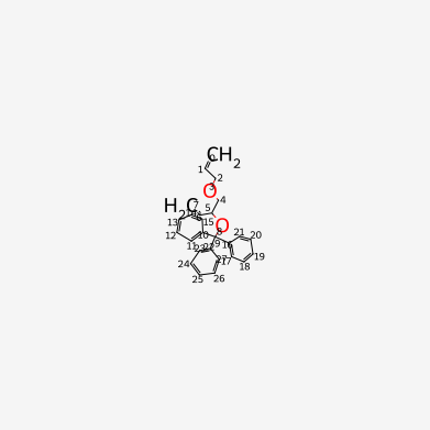 C=CCOCC(C=C)OC(c1ccccc1)(c1ccccc1)c1ccccc1